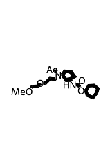 COCCOCCCN(C(C)=O)c1cccc(NC(=O)OC2CCCCCC2)c1